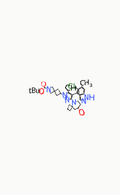 Cc1cc2[nH]ncc2c(-c2c(N3CCC(=O)CC34CCC4)nn(C3CC4(C3)CN(C(=O)OC(C)(C)C)C4)c2C)c1Cl